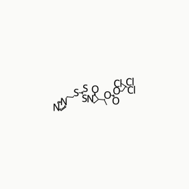 CC(OC(=O)OCC(Cl)(Cl)Cl)C1CN(SC(=S)SCCn2ccnc2)C1=O